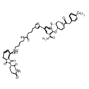 NC(=O)c1cc(-c2cn(CCCC(=O)NCCCCNc3cccc4c3C(=O)N(C3CCC(=O)NC3=O)C4=O)cn2)cnc1O[C@@H]1CCN(C(=O)Cc2ccc(OC(F)(F)F)cc2)C[C@H]1F